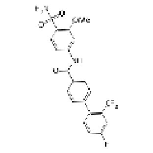 COc1cc(NC(=O)c2ccc(-c3ccc(F)cc3C(F)(F)F)cc2)ccc1S(N)(=O)=O